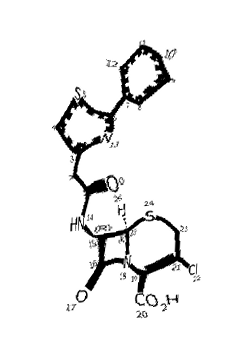 O=C(Cc1csc(-c2ccccc2)n1)N[C@@H]1C(=O)N2C(C(=O)O)=C(Cl)CS[C@H]12